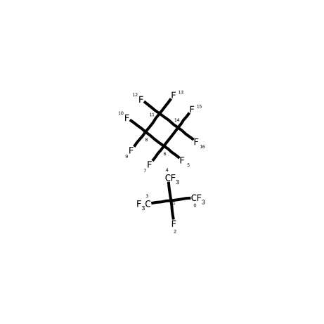 FC(F)(F)C(F)(C(F)(F)F)C(F)(F)F.FC1(F)C(F)(F)C(F)(F)C1(F)F